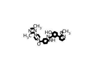 COc1ncccc1-c1ccc(O)c(-c2nc3cc(C(=O)N4CCN(c5nc(C)cnc5C)CC4)ccc3[nH]2)c1